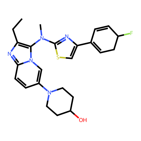 CCc1nc2ccc(N3CCC(O)CC3)cn2c1N(C)c1nc(C2=CCC(F)C=C2)cs1